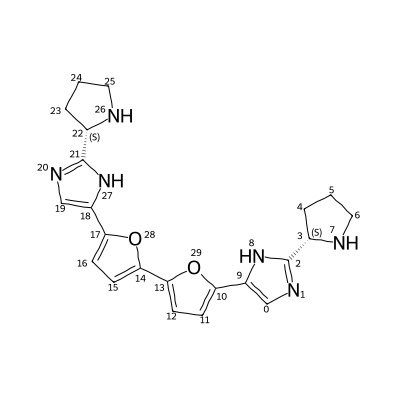 c1nc([C@@H]2CCCN2)[nH]c1-c1ccc(-c2ccc(-c3cnc([C@@H]4CCCN4)[nH]3)o2)o1